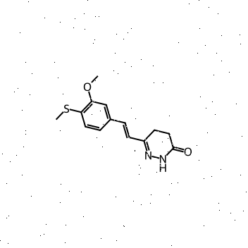 COc1cc(C=CC2=NNC(=O)CC2)ccc1SC